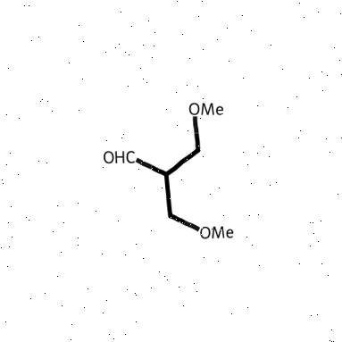 COCC(C=O)COC